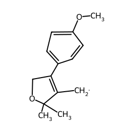 [CH2]C1=C(c2ccc(OC)cc2)COC1(C)C